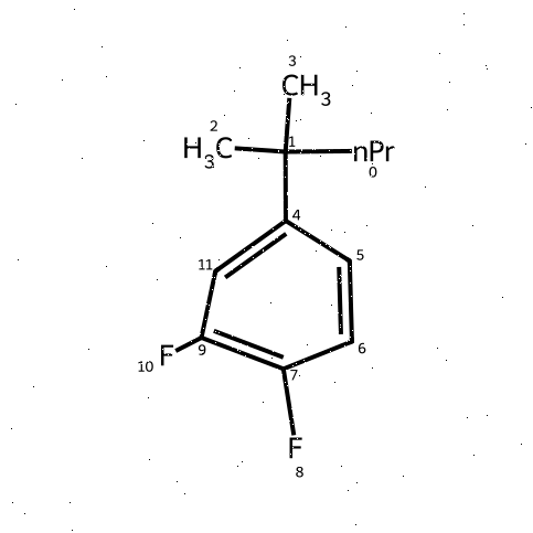 CCCC(C)(C)c1ccc(F)c(F)c1